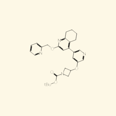 CC(C)(C)OC(=O)N1CC(Oc2cncc(-c3cc(OCc4ccccn4)nc4c3CCCC4)c2)C1